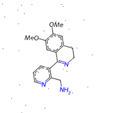 COc1cc2c(cc1OC)C(c1cccnc1CN)=NCC2